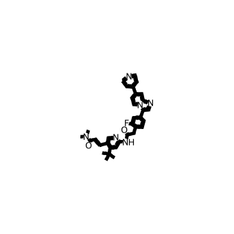 CN(C)C(=O)C=Cc1cnc(NC(=O)Cc2ccc(-c3cnc4cc(-c5ccncc5)ccn34)cc2F)cc1C(C)(C)C